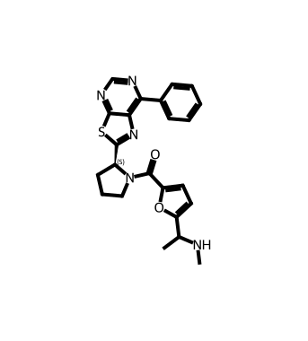 CNC(C)c1ccc(C(=O)N2CCC[C@H]2c2nc3c(-c4ccccc4)ncnc3s2)o1